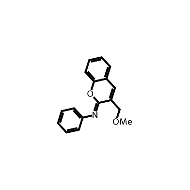 COCc1cc2ccccc2oc1=Nc1ccccc1